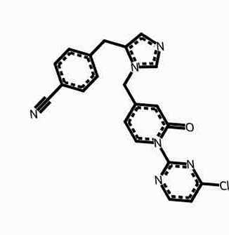 N#Cc1ccc(Cc2cncn2Cc2ccn(-c3nccc(Cl)n3)c(=O)c2)cc1